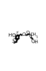 CN(CCO)C(=O)COCCc1cc2ccsc2c(O)c1F